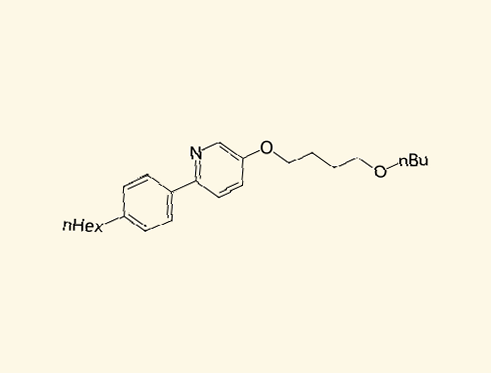 CCCCCCc1ccc(-c2ccc(OCCCCOCCCC)cn2)cc1